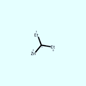 CC[CH]([Zn])CC